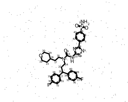 NS(=O)(=O)c1ccc(-c2nsc(NC(=O)N(CCC3CCOCC3)CCC(c3ccc(F)cc3)c3ccc(F)cc3)n2)cc1